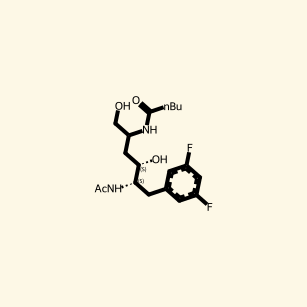 CCCCC(=O)NC(CO)C[C@H](O)[C@H](Cc1cc(F)cc(F)c1)NC(C)=O